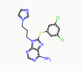 Nc1ncnc2c1nc(Sc1cc(Cl)cc(Cl)c1)n2CCCn1ccnc1